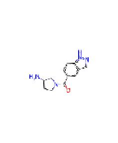 NC1CCN(C(=O)c2ccc3[nH]ncc3c2)C1